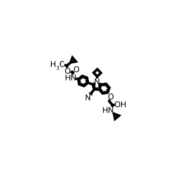 CC(OC(=O)Nc1ccc(-c2c(C#N)c3cc(OCC(O)NC4CC4)ccc3n2C2CCC2)cc1)C1CC1